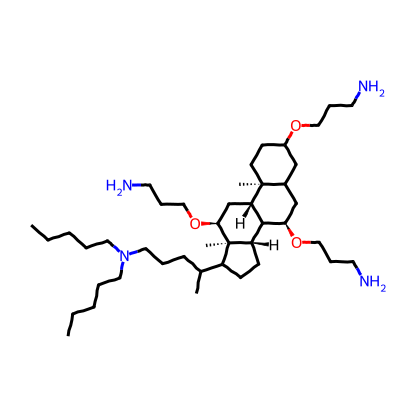 CCCCCN(CCCCC)CCCC(C)C1CC[C@H]2C3[C@H](OCCCN)CC4CC(OCCCN)CC[C@]4(C)[C@H]3C[C@H](OCCCN)[C@]12C